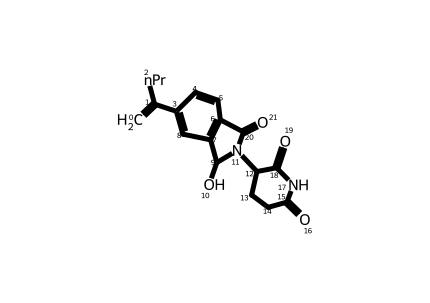 C=C(CCC)c1ccc2c(c1)C(O)N(C1CCC(=O)NC1=O)C2=O